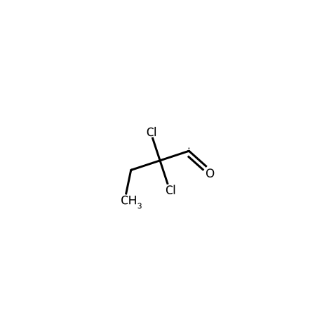 CCC(Cl)(Cl)[C]=O